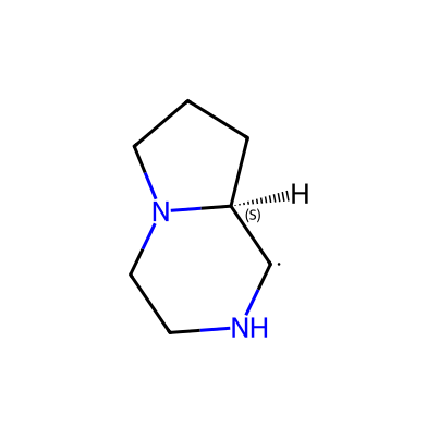 [CH]1NCCN2CCC[C@@H]12